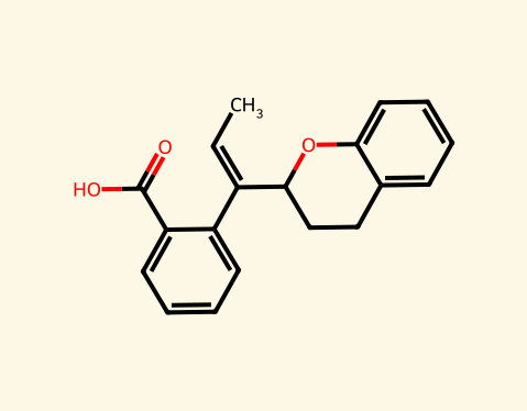 CC=C(c1ccccc1C(=O)O)C1CCc2ccccc2O1